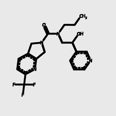 CCCN(CC(O)c1cccnc1)C(=O)N1Cc2ccc(C(F)(F)F)nc2C1